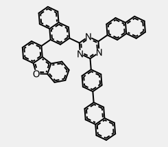 c1ccc2cc(-c3ccc(-c4nc(-c5ccc6ccccc6c5)nc(-c5cc(-c6cccc7oc8ccccc8c67)c6ccccc6c5)n4)cc3)ccc2c1